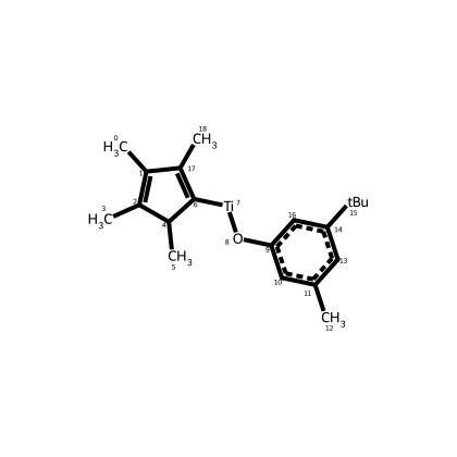 CC1=C(C)C(C)[C]([Ti][O]c2cc(C)cc(C(C)(C)C)c2)=C1C